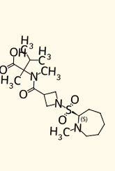 CC(C)C(C)(C(=O)O)N(C)C(=O)C1CN(S(=O)(=O)[C@H]2CCCCCN2C)C1